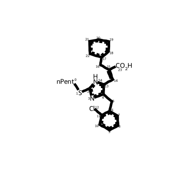 CCCCCSc1nc(Cc2ccccc2Cl)c(/C=C(\Cc2ccccc2)C(=O)O)[nH]1